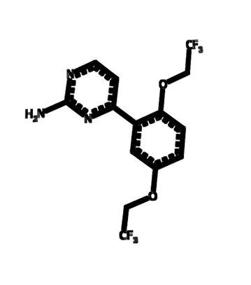 Nc1nccc(-c2cc(OCC(F)(F)F)ccc2OCC(F)(F)F)n1